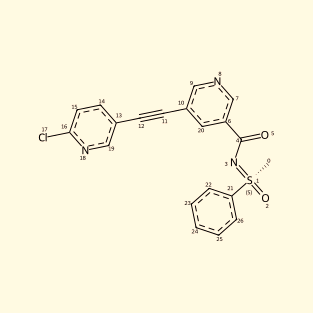 C[S@@](=O)(=NC(=O)c1cncc(C#Cc2ccc(Cl)nc2)c1)c1ccccc1